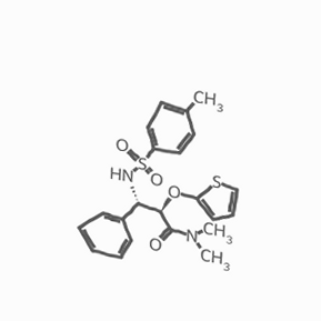 Cc1ccc(S(=O)(=O)N[C@@H](c2ccccc2)[C@@H](Oc2cccs2)C(=O)N(C)C)cc1